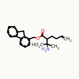 C=CCCC(C(=O)OCc1cccc2c1Cc1ccccc1-2)C(C)(N)C(=O)O